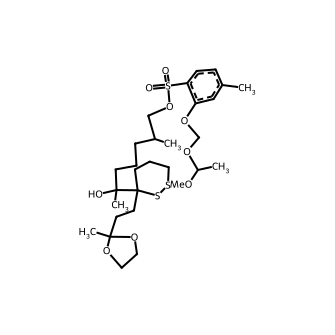 COC(C)OCOc1cc(C)ccc1S(=O)(=O)OCC(C)CCCC(C)(O)C1(CCC2(C)OCCO2)CCCSS1